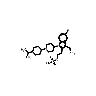 CC(C)C1CCC(N2CCC(n3c(CCOS(N)(=O)=O)c(CN)c4cc(F)ccc43)CC2)CC1